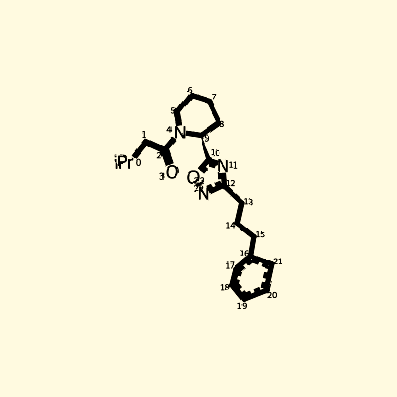 CC(C)CC(=O)N1CCCC[C@H]1c1nc(CCCc2ccccc2)no1